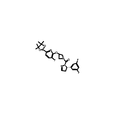 CC1(C)OB(c2ccc(F)c(OC3CN(C(=O)N4N=CC[C@H]4c4cc(F)cc(F)c4)C3)n2)OC1(C)C